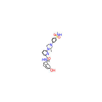 CNS(=O)(=O)c1ccc(N2CCN(c3cccc(C(=O)N[C@H]4C5CC6CC4C[C@](O)(C6)C5)n3)[C@H](C)C2)cc1